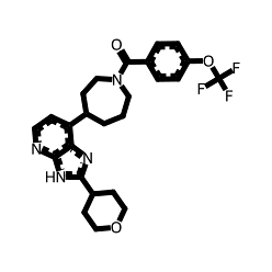 O=C(c1ccc(OC(F)(F)F)cc1)N1CCCC(c2ccnc3[nH]c(C4CCOCC4)nc23)CC1